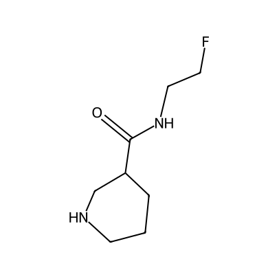 O=C(NCCF)C1CCCNC1